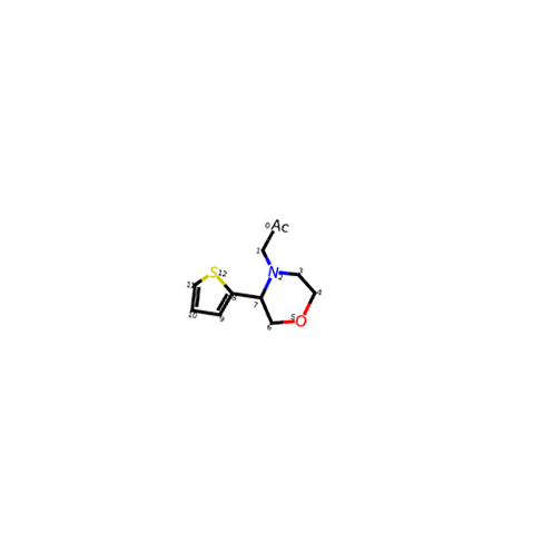 CC(=O)CN1CCOCC1c1cccs1